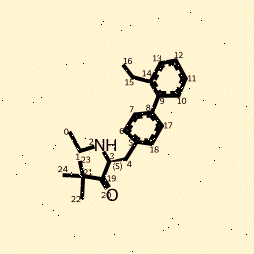 CCN[C@@H](Cc1ccc(-c2ccccc2CC)cc1)C(=O)C(C)(C)C